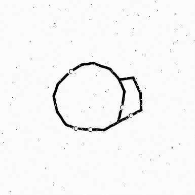 C1CCCCCC2CCCCC(CCCCC1)CC2